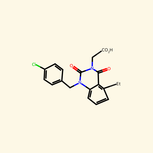 CCc1cccc2c1c(=O)n(CC(=O)O)c(=O)n2Cc1ccc(Cl)cc1